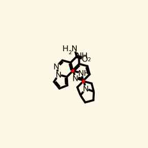 NC(=O)c1cnn2cccc2c1NC1CC2CCC(C1)N2c1ccc(N)cn1